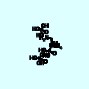 C.N=CN.O=P(O)(O)O.O=P(O)(O)O.O=P(O)(O)O